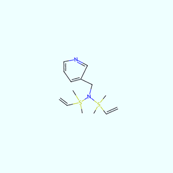 C=CS(C)(C)N(Cc1cccnc1)S(C)(C)C=C